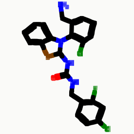 NCc1cccc(Cl)c1N1c2ccccc2SC1NC(=O)NCc1ccc(Cl)cc1F